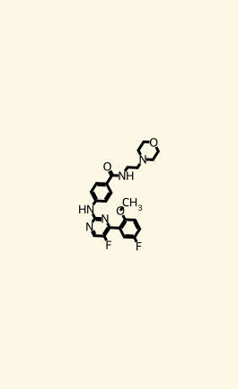 COc1ccc(F)cc1-c1nc(Nc2ccc(C(=O)NCCN3CCOCC3)cc2)ncc1F